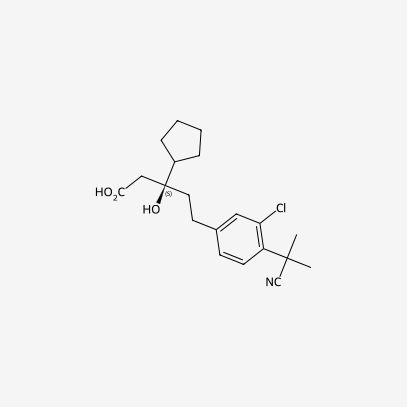 CC(C)(C#N)c1ccc(CC[C@](O)(CC(=O)O)C2CCCC2)cc1Cl